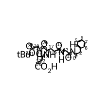 CC(Cc1ccccc1)NC(=O)CNC(=O)CCC(NC(=O)CCC(=O)O)C(=O)NCC(=O)OC(C)(C)C